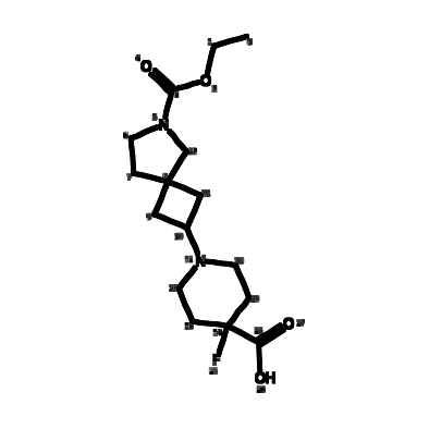 CCOC(=O)N1CCC2(CC(N3CCC(F)(C(=O)O)CC3)C2)C1